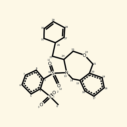 CS(=O)(=O)c1ccccc1S(=O)(=O)N1Cc2ccccc2COCC1CC1C=CC=CC1